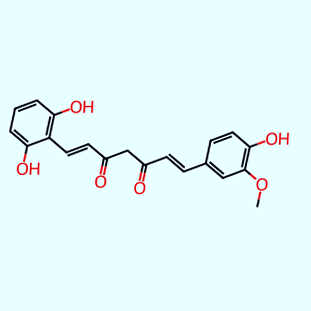 COc1cc(C=CC(=O)CC(=O)C=Cc2c(O)cccc2O)ccc1O